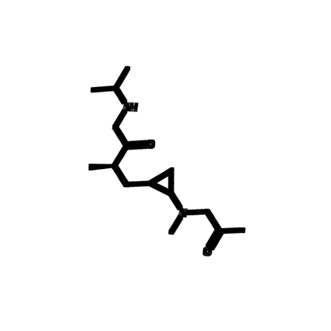 CC(=O)CN(C)C1CC1C[C@@H](C)C(=O)CNC(C)C